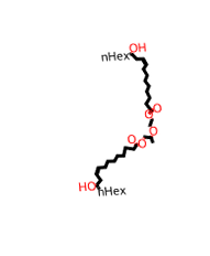 CCCCCCC(O)C/C=C\CCCCCCCC(=O)OCCOC(C)COC(=O)CCCCCCC/C=C\CC(O)CCCCCC